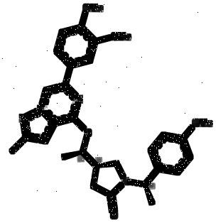 COc1ccc([C@@H](C)N2C[C@H]([C@@H](C)Oc3nc(-c4ccc(OC)c(OC)c4)cn4nc(C)cc34)CC2=O)cc1